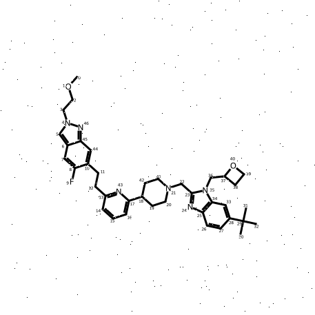 COCCn1cc2cc(F)c(CCc3cccc(C4CCN(Cc5nc6ccc(C(C)(C)C)cc6n5CC5CCO5)CC4)n3)cc2n1